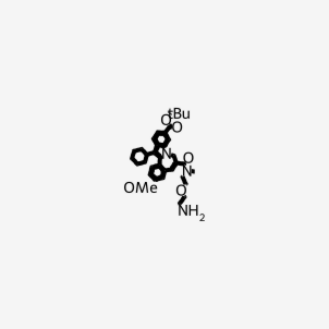 COc1ccc2c(c1)C=C(C(=O)N(C)CCOCCN)Cn1c-2c(C2CCCCC2)c2ccc(C(=O)OC(C)(C)C)cc21